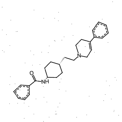 O=C(N[C@H]1CC[C@@H](CCN2CC=C(c3ccccc3)CC2)CC1)c1ccccc1